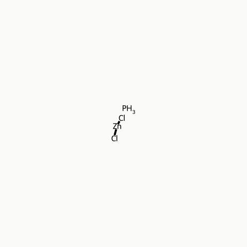 P.[Cl][Zn][Cl]